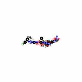 [2H]C1([2H])N(CC[C@H](CSc2ccccc2)Nc2ccc(S(=O)(=O)NC(=O)c3ccc(N4CCN(CC5=C(c6ccc(Cl)cc6)CCC(C)(C)C5)CC4)cc3)cc2S(=O)(=O)C(F)(F)F)C([2H])([2H])C([2H])([2H])N(Cc2cc3c(cc2F)C(=O)N(C2CCC(=O)NC2=O)C3)C1([2H])[2H]